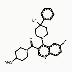 CSC1CCN(C(=O)c2cnc3ccc(Cl)cc3c2N2CCC(C#N)(c3ccccc3)CC2)CC1